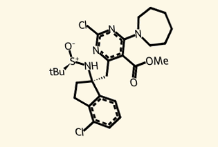 COC(=O)c1c(C[C@@]2(N[S@+]([O-])C(C)(C)C)CCc3c(Cl)cccc32)nc(Cl)nc1N1CCCCCC1